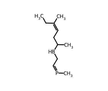 CC/C(C)=C\CC(C)BC/C=P\C